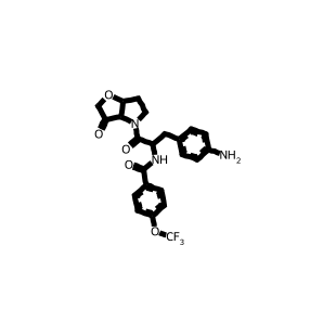 Nc1ccc(CC(NC(=O)c2ccc(OC(F)(F)F)cc2)C(=O)N2CCC3OCC(=O)C32)cc1